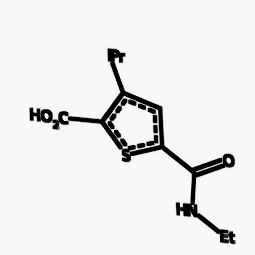 CCNC(=O)c1cc(C(C)C)c(C(=O)O)s1